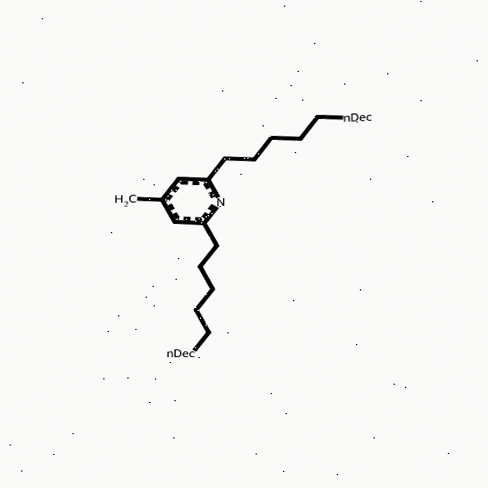 CCCCCCCCCCCCCCCc1cc(C)cc(CCCCCCCCCCCCCCC)n1